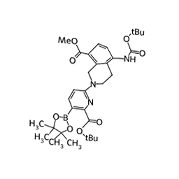 COC(=O)c1ccc(NC(=O)OC(C)(C)C)c2c1CN(c1ccc(B3OC(C)(C)C(C)(C)O3)c(C(=O)OC(C)(C)C)n1)CC2